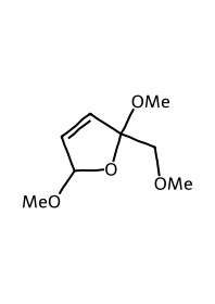 COCC1(OC)C=CC(OC)O1